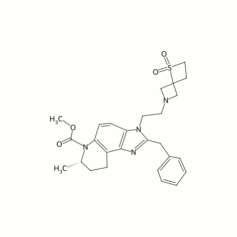 COC(=O)N1c2ccc3c(nc(Cc4ccccc4)n3CCN3CC4(CCS4(=O)=O)C3)c2CC[C@@H]1C